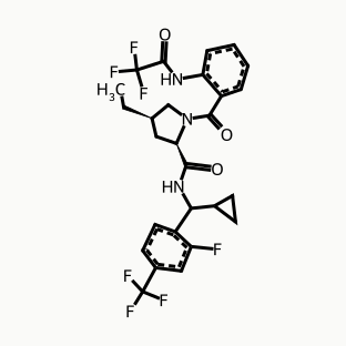 CC[C@@H]1C[C@H](C(=O)NC(c2ccc(C(F)(F)F)cc2F)C2CC2)N(C(=O)c2ccccc2NC(=O)C(F)(F)F)C1